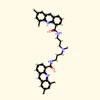 Cc1cc(C)c2nc3c(C(=O)NCCCN(C)CCCNC(=O)c4cccc5cc6cc(C)cc(C)c6nc45)cccc3cc2c1